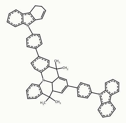 CC1(C)C2=CC(c3ccc(-n4c5ccccc5c5ccccc54)cc3)=CC3C2N(c2ccc(-c4ccc(-n5c6c(c7ccccc75)CCC=C6)cc4)cc21)c1ccccc1C3(C)C